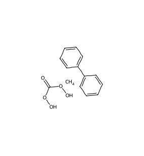 C.O=C(OO)OO.c1ccc(-c2ccccc2)cc1